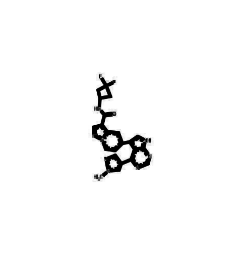 Cn1cc(-c2ncnc3[nH]cc(-c4ccn5ncc(C(=O)NC6CC(F)(F)C6)c5c4)c23)cn1